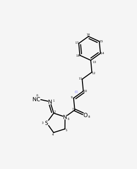 N#CN=C1SCCN1C(=O)/C=C/CCc1ccccc1